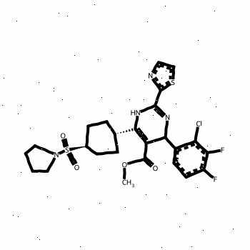 COC(=O)C1=C([C@H]2CC[C@H](S(=O)(=O)N3CCCC3)CC2)NC(c2nccs2)=NC1c1ccc(F)c(F)c1Cl